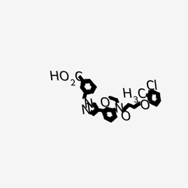 Cc1c(Cl)cccc1OCCCC(=O)N1CCOc2c(-c3cnn(Cc4cccc(C(=O)O)c4)c3)cccc21